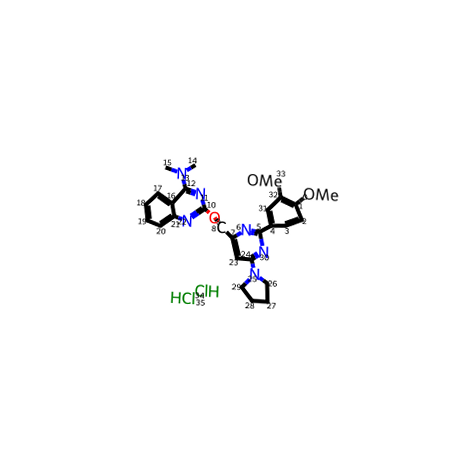 COc1ccc(-c2nc(COc3nc(N(C)C)c4ccccc4n3)cc(N3CCCC3)n2)cc1OC.Cl.Cl